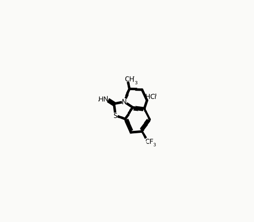 CC1CCc2cc(C(F)(F)F)cc3sc(=N)n1c23.Cl